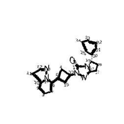 O=c1n(C2CC(c3cccc4ccnn34)C2)nc2n1[C@H](c1ccccc1)CC2